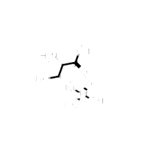 N[C@@H](CO)C(=O)O.O=P(O)(O)O